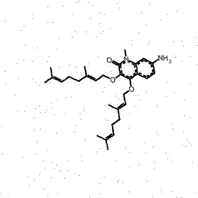 CC(C)=CCC/C(C)=C/COc1c(OC/C=C(\C)CCC=C(C)C)c2ccc(N)cc2n(C)c1=O